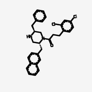 O=C(CCc1ccc(Cl)cc1Cl)N1C[C@H](Cc2ccccc2)NC[C@H]1Cc1ccc2ccccc2c1